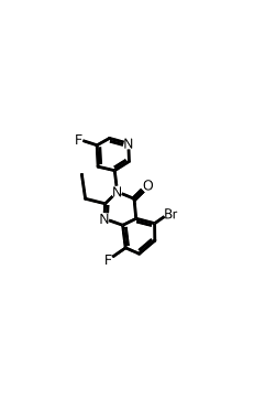 CCc1nc2c(F)ccc(Br)c2c(=O)n1-c1cncc(F)c1